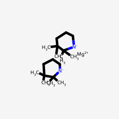 CC1(C)CCC[N-]C1(C)C.CC1(C)CCC[N-]C1(C)C.[Mg+2]